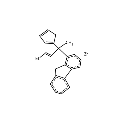 CCC=CC(C)(C1=CC=CC1)c1cccc2c1Cc1ccccc1-2.[Zr]